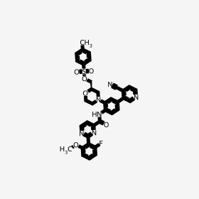 COc1cccc(F)c1-c1nccc(C(=O)Nc2ccc(-c3cnccc3C#N)cc2N2CCO[C@@H](COS(=O)(=O)c3ccc(C)cc3)C2)n1